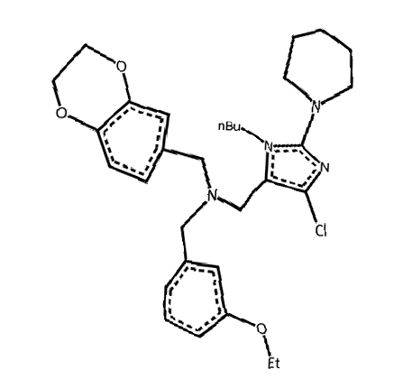 CCCCn1c(N2CCCCC2)nc(Cl)c1CN(Cc1cccc(OCC)c1)Cc1ccc2c(c1)OCCO2